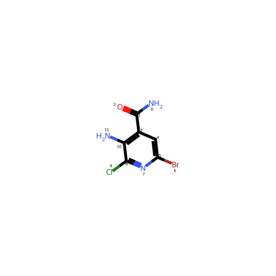 NC(=O)c1cc(Br)nc(Cl)c1N